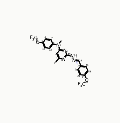 Cc1cc(N(C)c2ccc(OC(F)(F)F)cc2)nc(N/N=C/c2ccc(OC(F)(F)F)cc2)n1